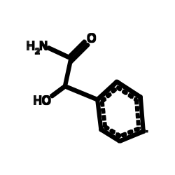 NC(=O)C(O)c1cc[c]cc1